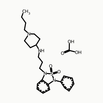 CCCCN1CCC(NCCCN2c3ccccc3N(c3ccccc3)S2(=O)=O)CC1.O=C(O)O